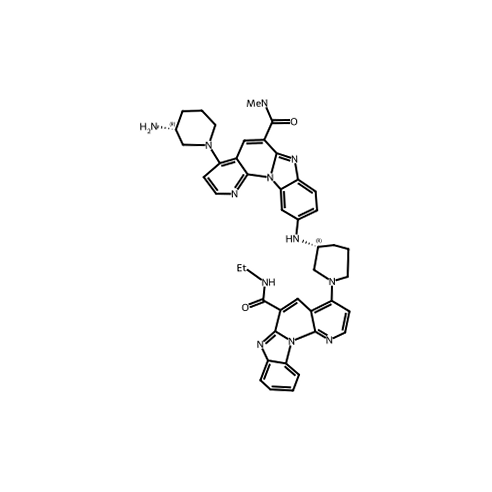 CCNC(=O)c1cc2c(N3CCC[C@@H](Nc4ccc5nc6c(C(=O)NC)cc7c(N8CCC[C@@H](N)C8)ccnc7n6c5c4)C3)ccnc2n2c1nc1ccccc12